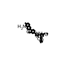 COCC1C[C@@H](c2ncc(-c3ccc4c(c3)COc3cc5c(N)c(C)ccc5cc3-4)[nH]2)N(C(=O)OC(C)(C)C)C1